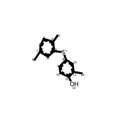 Cc1ccc(C)c(Sc2ccc(O)c(C)c2)c1